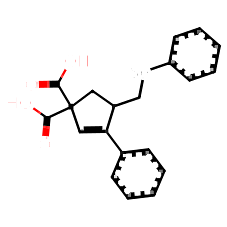 O=C(O)C1(C(=O)O)C=C(c2ccccc2)C(C[Se]c2ccccc2)C1